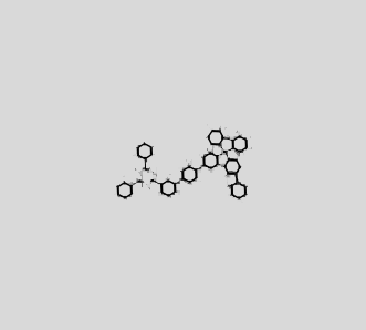 c1ccc(-c2nc(-c3ccccc3)nc(-c3cccc(-c4ccc(-c5ccc(C6(c7ccc8c(c7)sc7ccccc78)c7ccccc7-c7ccccc76)cc5)cc4)c3)n2)cc1